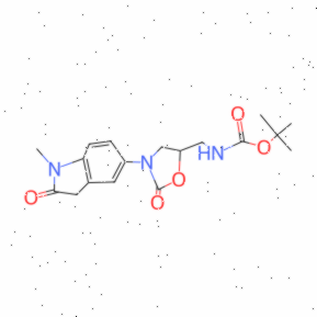 CN1C(=O)Cc2cc(N3CC(CNC(=O)OC(C)(C)C)OC3=O)ccc21